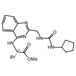 COC(=O)[C@@H](Nc1nc(CNC(=O)NC2CCCC2)nc2ccccc12)C(C)C